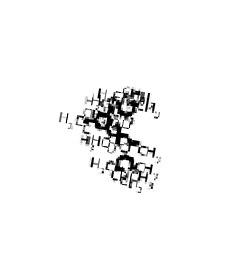 CCCCC(C(=O)OC1CC(C)(C)N(C)C(C)(C)C1)(C(=O)OC1CC(C)(C)N(C)C(C)(C)C1)C(O)c1cc(C(C)(C)C)cc(C(C)(C)C)c1